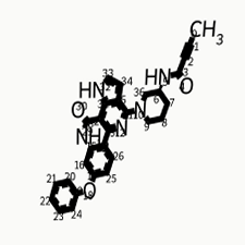 CC#CC(=O)N[C@H]1CCCN(c2nc(-c3ccc(Oc4ccccc4)cc3)c(C(N)=O)c3[nH]ccc23)C1